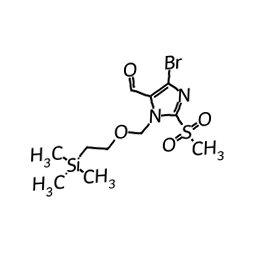 C[Si](C)(C)CCOCn1c(S(C)(=O)=O)nc(Br)c1C=O